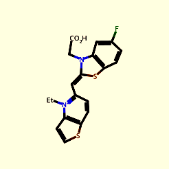 CC[n+]1c(/C=C2\Sc3ccc(F)cc3N2CC(=O)O)ccc2sccc21